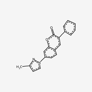 Cc1ccn(-c2ccc3cc(-c4ccccc4)c(=O)oc3c2)n1